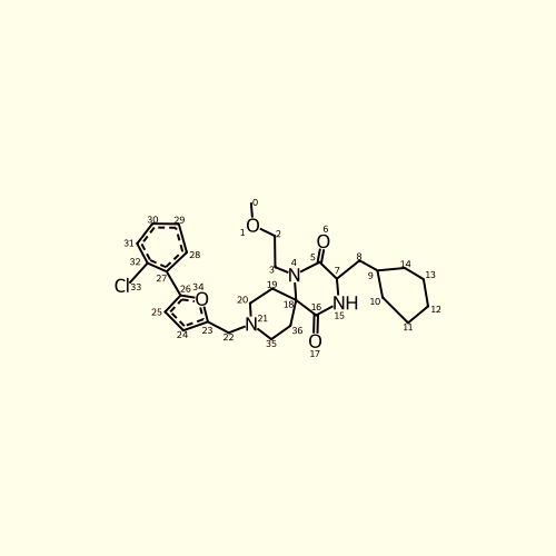 COCCN1C(=O)C(CC2CCCCC2)NC(=O)C12CCN(Cc1ccc(-c3ccccc3Cl)o1)CC2